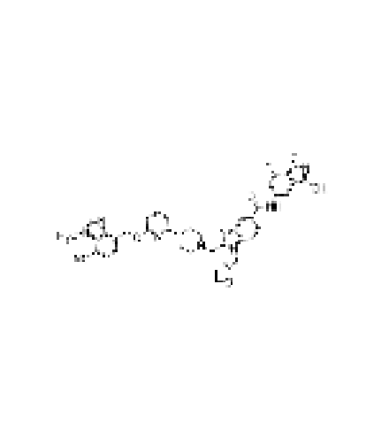 Cc1n[nH]c2c(F)cc(NC(=O)c3ccc4c(c3)nc(CN3CCC(c5cccc(OCc6ccc(C#N)c7c6ncn7C)n5)CC3)n4C[C@@H]3CCO3)cc12